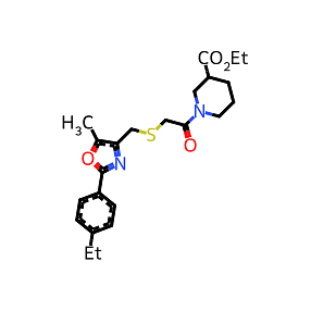 CCOC(=O)C1CCCN(C(=O)CSCc2nc(-c3ccc(CC)cc3)oc2C)C1